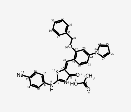 CC(=O)O.O=C1N=C(Nc2cc[c]([Na])cc2)S/C1=C/c1ccc(-n2cccc2)cc1OCc1ccccc1